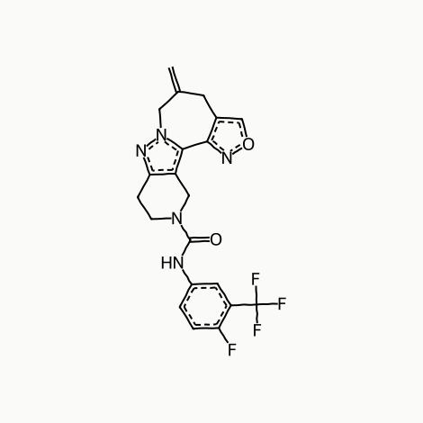 C=C1Cc2conc2-c2c3c(nn2C1)CCN(C(=O)Nc1ccc(F)c(C(F)(F)F)c1)C3